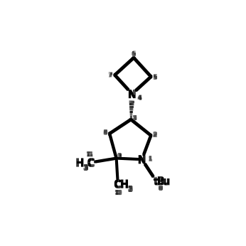 CC(C)(C)N1C[C@@H](N2CCC2)CC1(C)C